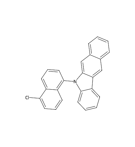 Clc1cccc2c(-n3c4ccccc4c4cc5ccccc5cc43)cccc12